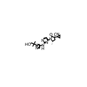 C[C@H]1C[C@](C#N)(C2CC2)C(=O)N1c1ccnc(Nc2cnn(C(C)(C)CO)c2)n1